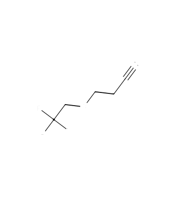 N#CCCOCC(F)(F)F